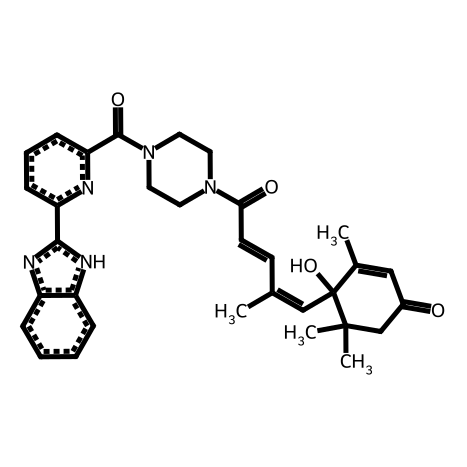 CC1=CC(=O)CC(C)(C)C1(O)/C=C(C)\C=C\C(=O)N1CCN(C(=O)c2cccc(-c3nc4ccccc4[nH]3)n2)CC1